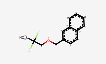 O=S(=O)(O)C(F)(F)COCc1ccc2ccccc2c1